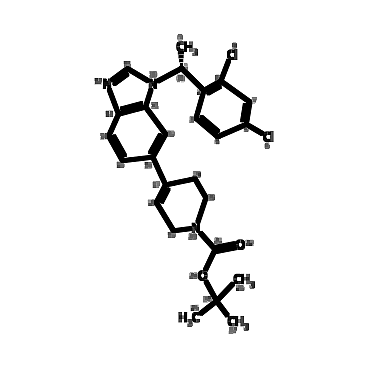 C[C@H](c1ccc(Cl)cc1Cl)n1cnc2ccc(C3=CCN(C(=O)OC(C)(C)C)CC3)cc21